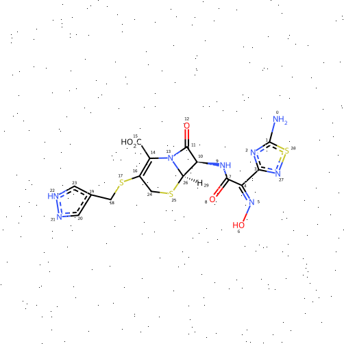 Nc1nc(/C(=N/O)C(=O)N[C@@H]2C(=O)N3C(C(=O)O)=C(SCc4cn[nH]c4)CS[C@H]23)ns1